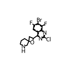 Fc1cc2c(C3CC4(CCCNC4)O3)nc(Cl)nc2c(F)c1Br